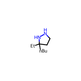 CCCCC1(CC)CCNN1